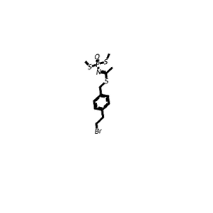 CSP(=O)(N=C(C)SCc1ccc(CCBr)cc1)SC